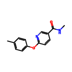 CNC(=O)c1ccc(Oc2ccc(C)cc2)nc1